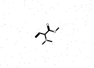 C=CC(C(=O)OC)N(C)C